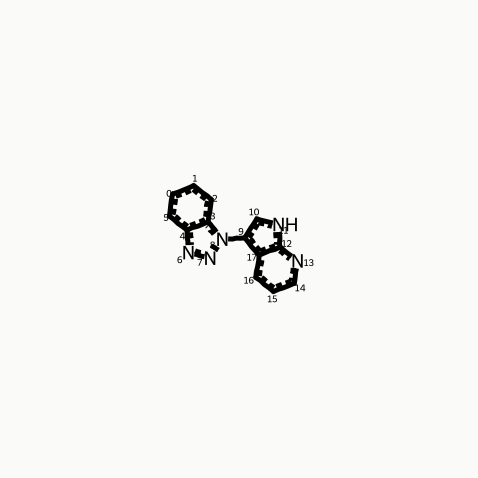 c1ccc2c(c1)nnn2-c1c[nH]c2ncccc12